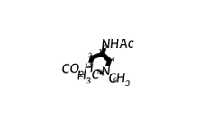 CC(=O)NC(CC(=O)O)CN(C)C